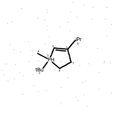 CC(C)C1=C[PH](C)(C(C)(C)C)CC1